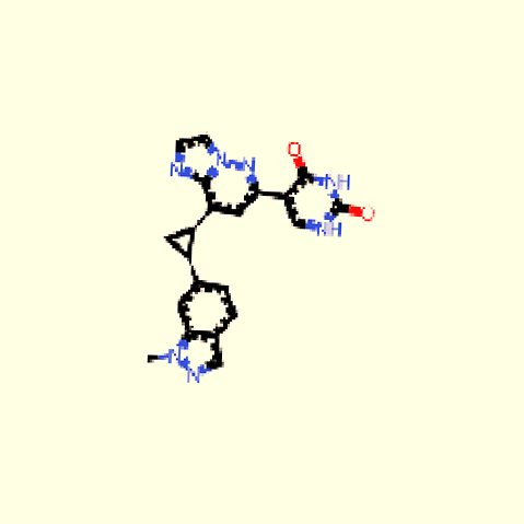 Cn1ncc2ccc([C@H]3C[C@H]3c3cc(-c4c[nH]c(=O)[nH]c4=O)nn4ccnc34)cc21